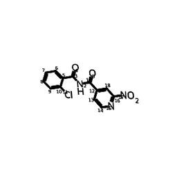 O=C(NC(=O)c1ccccc1Cl)c1ccnc([N+](=O)[O-])c1